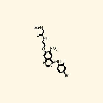 CNCC(=O)NCCOc1cc2ncnc(Nc3ccc(Br)cc3F)c2cc1[N+](=O)[O-]